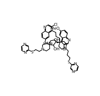 COc1ccc2ncc(Cl)c(CCCC3(C(O)C(O)C4(CCCc5c(Cl)cnc6ccc(OC)cc56)CCN(CCSc5cnccn5)CC4)CCN(CCCSc4cnccn4)CC3)c2c1